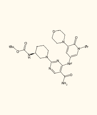 CC(C)n1cc(Nc2nc(N3CCC[C@H](NC(=O)OC(C)(C)C)C3)ncc2C(N)=O)cc(N2CCOCC2)c1=O